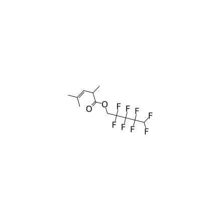 CC(C)=CC(C)C(=O)OCC(F)(F)C(F)(F)C(F)(F)C(F)F